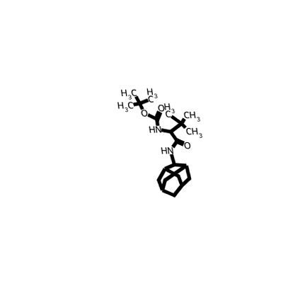 CC(C)(C)OC(=O)NC(C(=O)NC1C2CC3CC(C2)CC1C3)C(C)(C)C